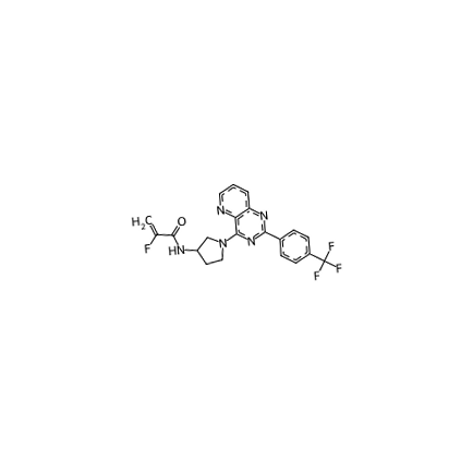 C=C(F)C(=O)NC1CCN(c2nc(-c3ccc(C(F)(F)F)cc3)nc3cccnc23)C1